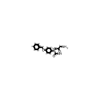 [NH]C(=O)N(NC(=O)CN)c1ccc(OCc2ccccc2)cc1